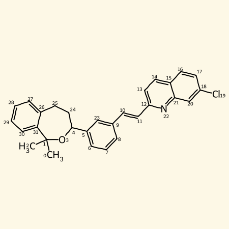 CC1(C)OC(c2cccc(C=Cc3ccc4ccc(Cl)cc4n3)c2)CCc2ccccc21